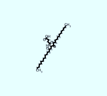 CCCCCCCCCCCCCC(=O)CC(NC(=O)CCC(=O)O)C(=O)CCCCCCCCCCCCC